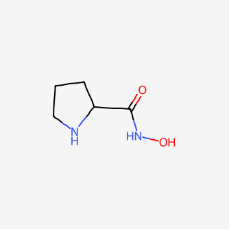 O=C(NO)C1CCCN1